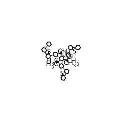 CC1(C)c2ccc(-c3cccc4c3sc3ccccc34)cc2-c2c1c1c(c3c2C(C)(C)c2ccc(-c4cccc5c4sc4c(-c6ccccc6)cccc45)cc2-3)C(C)(C)c2ccc(-c3cccc4c3sc3ccccc34)cc2-1